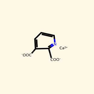 O=C([O-])c1cccnc1C(=O)[O-].[Ca+2]